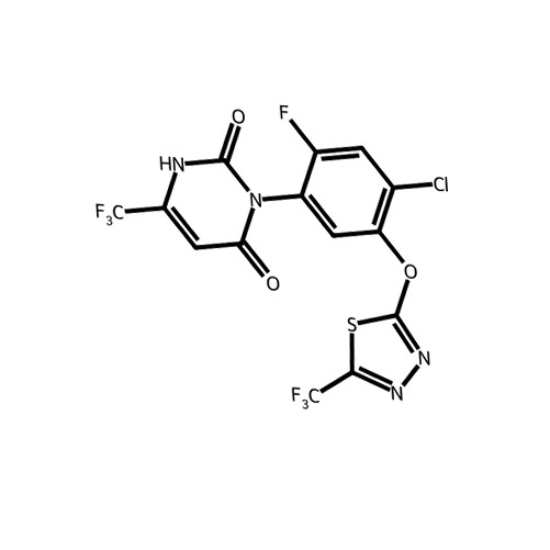 O=c1cc(C(F)(F)F)[nH]c(=O)n1-c1cc(Oc2nnc(C(F)(F)F)s2)c(Cl)cc1F